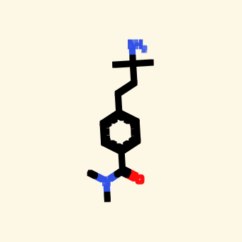 CN(C)C(=O)c1ccc(CCC(C)(C)N)cc1